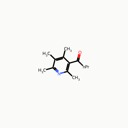 CCCC(=O)c1c(C)nc(C)c(C)c1C